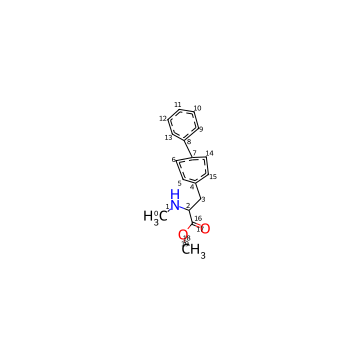 CNC(Cc1ccc(-c2ccccc2)cc1)C(=O)OC